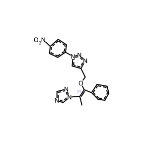 C/C(=C(/OCc1cn(-c2ccc([N+](=O)[O-])cc2)nn1)c1ccccc1)n1cncn1